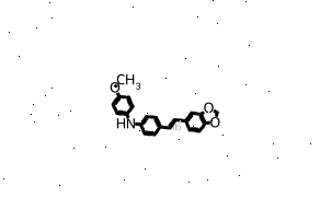 COc1ccc(Nc2ccc(/C=C/c3ccc4c(c3)OCO4)cc2)cc1